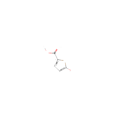 CCOC(=O)c1ccc(O)s1